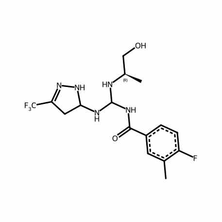 Cc1cc(C(=O)NC(NC2CC(C(F)(F)F)=NN2)N[C@H](C)CO)ccc1F